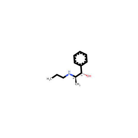 CCCN[C@H](C)[C@@H](O)c1ccccc1